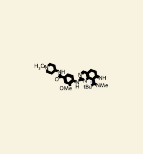 CN/C(=C1\C(=N)CCc2cnc(Nc3ccc(C(=O)NC4CCN(C)CC4)cc3OC)nc21)C(C)(C)C